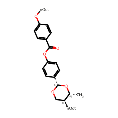 CCCCCCCCOc1ccc(C(=O)Oc2ccc([C@H]3OC[C@H](CCCCCCCC)[C@@H](C)O3)cc2)cc1